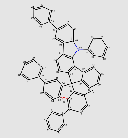 Cc1ccc(-c2ccccc2)cc1C1(c2cc(-c3ccccc3)ccc2O)c2ccccc2-c2c1ccc1c3cc(-c4ccccc4)ccc3n(-c3ccccc3)c21